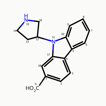 O=C(O)c1ccc2c3ccccc3n(C3CCNC3)c2c1